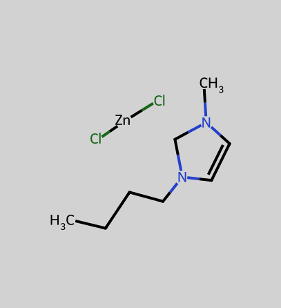 CCCCN1C=CN(C)C1.[Cl][Zn][Cl]